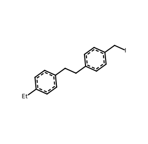 CCc1ccc(CCc2ccc(CI)cc2)cc1